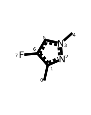 Cc1nn(C)cc1F